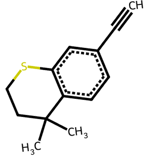 C#Cc1ccc2c(c1)SCCC2(C)C